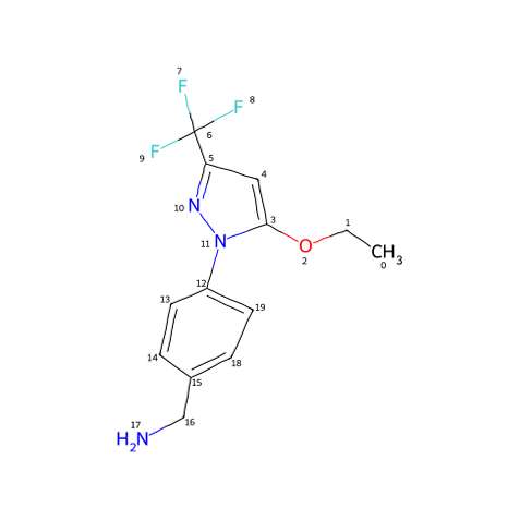 CCOc1cc(C(F)(F)F)nn1-c1ccc(CN)cc1